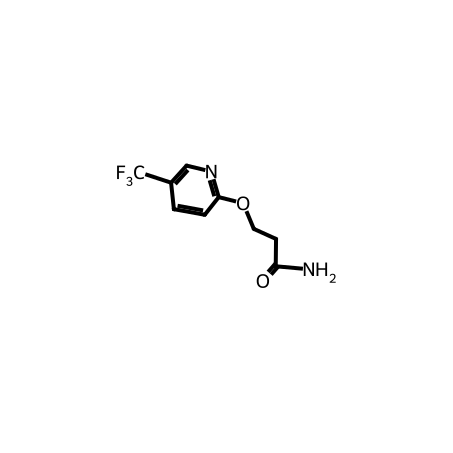 NC(=O)CCOc1ccc(C(F)(F)F)cn1